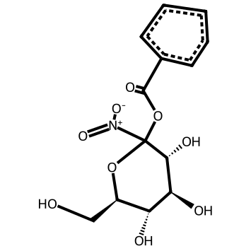 O=C(OC1([N+](=O)[O-])O[C@H](CO)[C@@H](O)[C@H](O)[C@H]1O)c1ccccc1